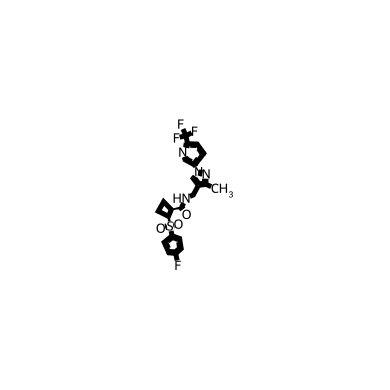 Cc1nn(-c2ccc(C(F)(F)F)nc2)cc1CNC(=O)[C@@H]1CC[C@@H]1S(=O)(=O)c1ccc(F)cc1